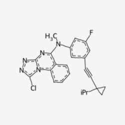 CC(C)C1(C#Cc2cc(F)cc(N(C)c3nc4nnc(Cl)n4c4ccccc34)c2)CC1